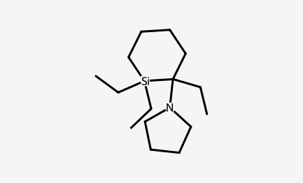 CCC1(N2CCCC2)CCCC[Si]1(CC)CC